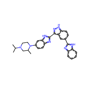 CC(C)N1CCN(c2ccc3nc(-c4n[nH]c5ccc(-c6nc7ccccc7[nH]6)cc45)[nH]c3c2)C(C)C1